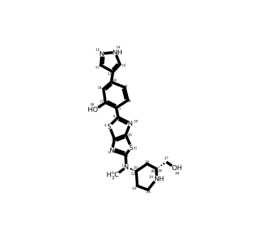 CN(c1nc2sc(-c3ccc(-c4cn[nH]c4)cc3O)nc2s1)[C@H]1CCN[C@@H](CO)C1